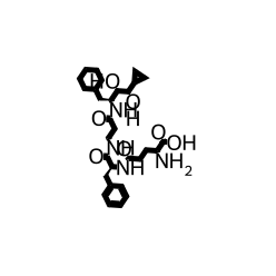 NC(CCC(=O)N[C@@H](Cc1ccccc1)C(=O)NCCC(=O)N[C@@H](CC1CCCCC1)[C@@H](O)[C@@H](O)C1CC1)C(=O)O